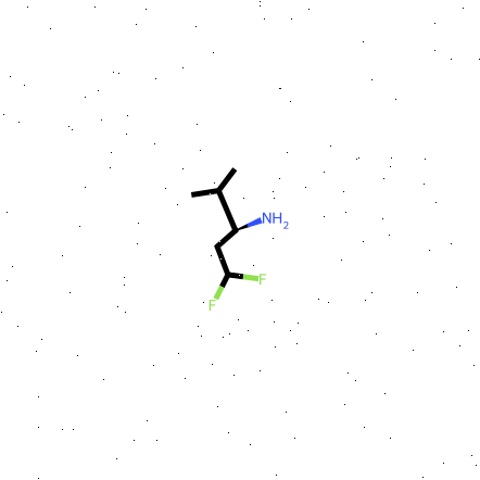 CC(C)[C@@H](N)CC(F)F